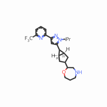 CC(C)n1nc(-c2cccc(C(F)(F)F)n2)cc1C1[C@H]2CC(C3CNCCCO3)C[C@@H]12